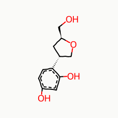 OC[C@@H]1C[C@@H](c2ccc(O)cc2O)CO1